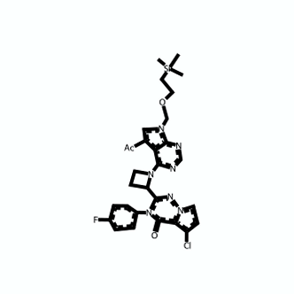 CC(=O)c1cn(COCC[Si](C)(C)C)c2ncnc(N3CCC3c3nn4ccc(Cl)c4c(=O)n3-c3ccc(F)cc3)c12